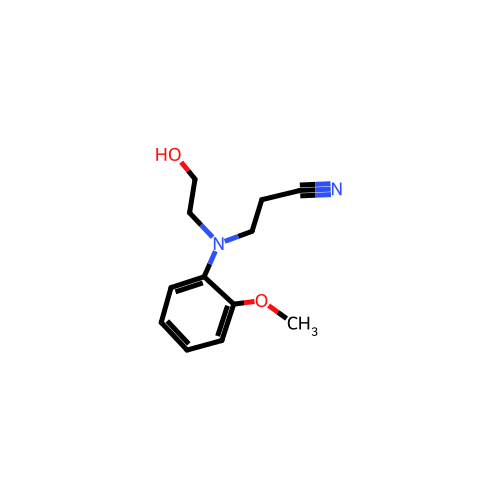 COc1ccccc1N(CCO)CCC#N